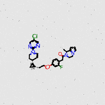 CC1c2cccn2CCN1C(=O)Cc1ccc(OCC[C@@H]2C[C@@H]2C2CCN(c3ncc(Cl)cn3)CC2)cc1F